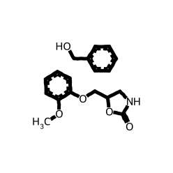 COc1ccccc1OCC1CNC(=O)O1.OCc1ccccc1